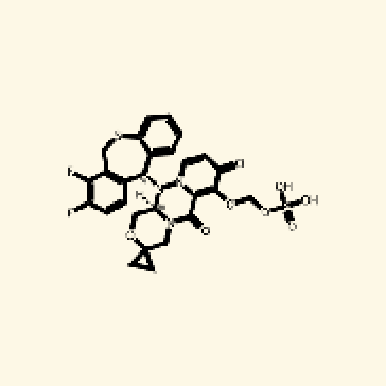 O=C1c2c(OCOP(=O)(O)O)c(=O)ccn2N([C@@H]2c3ccccc3SCc3c2ccc(F)c3F)[C@@H]2COC3(CC3)CN12